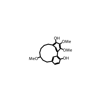 COc1c2cc(c(O)c1OC)CCCCC(OC)CCc1ccc(O)c-2c1